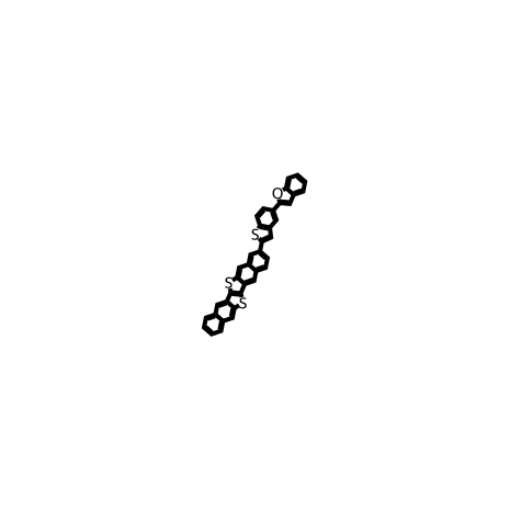 c1ccc2cc3c(cc2c1)sc1c2cc4ccc(-c5cc6cc(-c7cc8ccccc8o7)ccc6s5)cc4cc2sc31